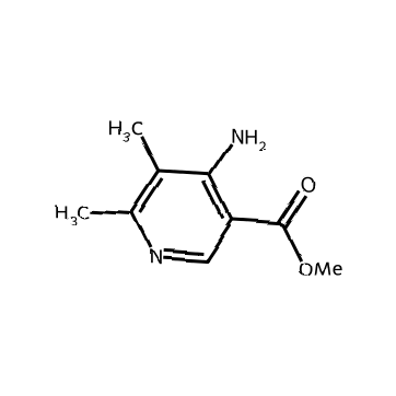 COC(=O)c1cnc(C)c(C)c1N